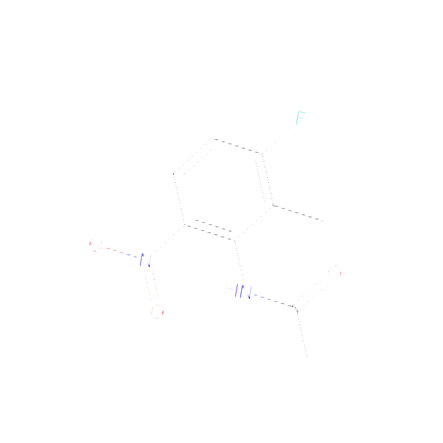 CC(=O)Nc1c([N+](=O)[O-])ccc(F)c1C